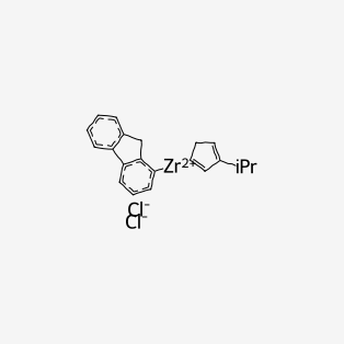 CC(C)C1=CC[C]([Zr+2][c]2cccc3c2Cc2ccccc2-3)=C1.[Cl-].[Cl-]